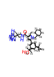 Cc1c(C(=O)NCC(C)(C)c2nnn[nH]2)cc(-c2cc(C(C)(C)O)cc(C3(C)CC3)c2)n1CC1CCCCC1